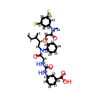 CCC(C)CCN(C(=O)CNC(=O)Nc1cccc(C(=O)O)c1)c1ccccc1OCC(=O)N(C)c1cc(F)cc(F)c1